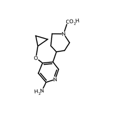 Nc1cc(OC2CC2)c(C2CCN(C(=O)O)CC2)cn1